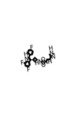 O=S(=O)(NCCc1c[nH]cn1)NC[C@H]1C[C@H](c2c(-c3ccc(F)cc3)[nH]c3c(F)cc(F)cc32)C1